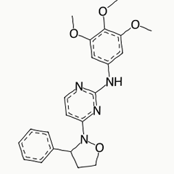 COc1cc(Nc2nccc(N3OCCC3c3ccccc3)n2)cc(OC)c1OC